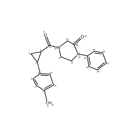 Cc1ccc(C2CC2C(=O)N2CCN(c3ccccc3)C(=O)C2)cc1